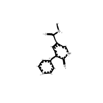 COC(=O)c1c[nH]c(=O)c(-c2ccncc2)c1